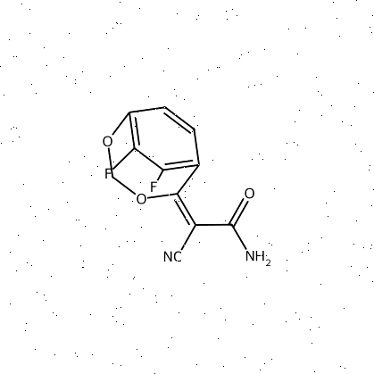 N#CC(C(N)=O)=C1OCOc2ccc1c(F)c2F